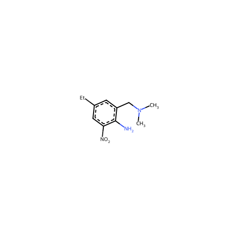 CCc1cc(CN(C)C)c(N)c([N+](=O)[O-])c1